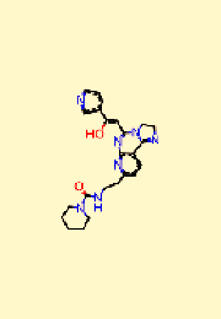 O=C(NCCc1ccc2c(n1)N=C(/C=C(\O)c1cccnc1)N1CCN=C21)N1CCCCC1